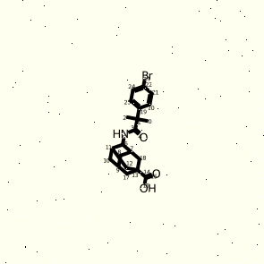 CC(C)(C(=O)NC1C2CC3CC1CC(C(=O)O)(C3)C2)c1ccc(Br)cc1